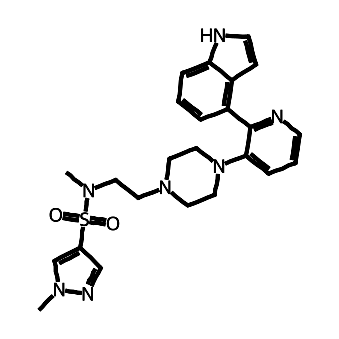 CN(CCN1CCN(c2cccnc2-c2cccc3[nH]ccc23)CC1)S(=O)(=O)c1cnn(C)c1